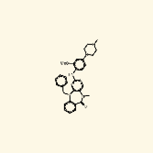 COc1cc(N2CCN(C)CC2)ccc1Nc1ncc2c(n1)N(Cc1ccccc1)c1ccccc1C(=O)N2C